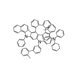 Cc1ccccc1-c1cccc(N(c2cccc(-c3ccccc3C)c2)c2cc3c(c4c2-c2ccc(N(C5=CC=CCC5)c5ccccc5)cc2-c2ccccc2-c2ccccc2-4)c2ccc4ccccc4c2n3-c2ccccc2)c1